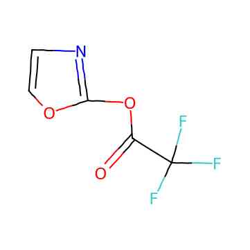 O=C(Oc1ncco1)C(F)(F)F